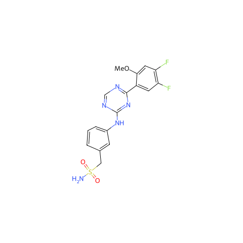 COc1cc(F)c(F)cc1-c1ncnc(Nc2cccc(CS(N)(=O)=O)c2)n1